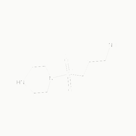 NCCCS(=O)(=O)N1CCNCC1